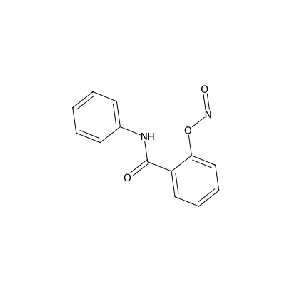 O=NOc1ccccc1C(=O)Nc1ccccc1